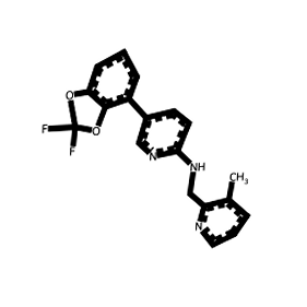 Cc1cccnc1CNc1ccc(-c2cccc3c2OC(F)(F)O3)cn1